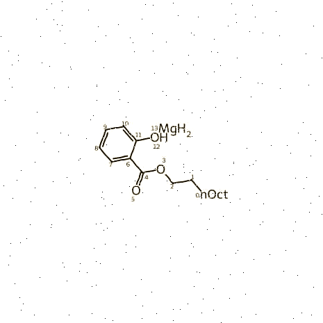 CCCCCCCCCCOC(=O)c1ccccc1O.[MgH2]